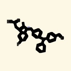 CC1=C(CC(=O)O)c2cc(F)ccc2/C1=C\c1ccc(N(c2ccccc2)c2ccc(C=O)cc2)cc1